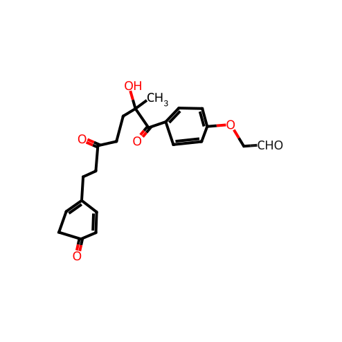 CC(O)(CCC(=O)CCC1=CCC(=O)C=C1)C(=O)c1ccc(OCC=O)cc1